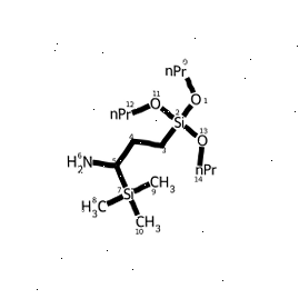 CCCO[Si](CCC(N)[Si](C)(C)C)(OCCC)OCCC